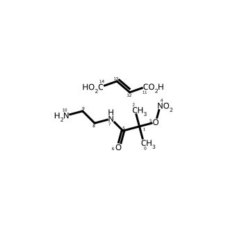 CC(C)(O[N+](=O)[O-])C(=O)NCCN.O=C(O)C=CC(=O)O